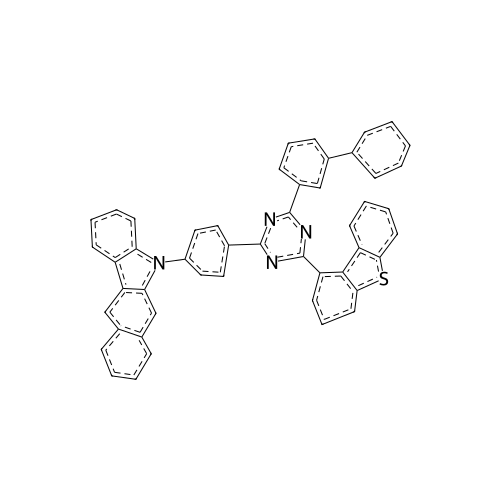 c1ccc(-c2cccc(-c3nc(-c4ccc(-n5c6ccccc6c6cc7ccccc7cc65)cc4)nc(-c4cccc5sc6ccccc6c45)n3)c2)cc1